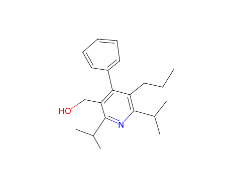 CCCc1c(C(C)C)nc(C(C)C)c(CO)c1-c1ccccc1